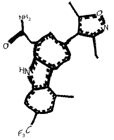 Cc1noc(C)c1-c1cc(C(N)=O)c2[nH]c3cc(C(F)(F)F)cc(C)c3c2c1